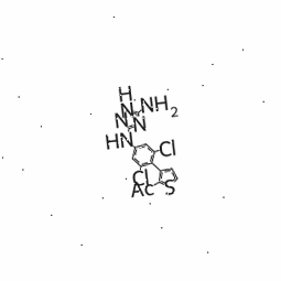 CC(=O)c1sccc1-c1c(Cl)cc(Nc2n[nH]c(N)n2)cc1Cl